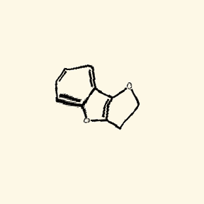 c1ccc2c3c(oc2c1)CCO3